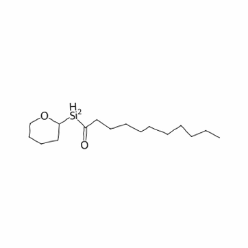 CCCCCCCCCCC(=O)[SiH2]C1CCCCO1